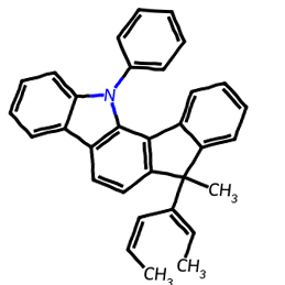 C/C=C\C(=C/C)C1(C)c2ccccc2-c2c1ccc1c3ccccc3n(-c3ccccc3)c21